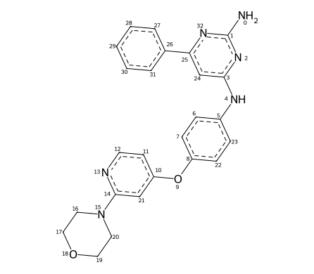 Nc1nc(Nc2ccc(Oc3ccnc(N4CCOCC4)c3)cc2)cc(-c2ccccc2)n1